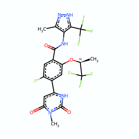 Cc1n[nH]c(C(F)(F)F)c1NC(=O)c1cc(F)c(-c2cc(=O)n(C)c(=O)[nH]2)cc1O[C@@H](C)C(F)(F)F